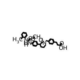 COc1cc(C2CCCN(Cc3ccc(CCC(=O)O)cc3)C2=O)ccc1NC(=O)Nc1ccccc1C